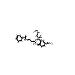 O=C(NCCCNc1ccc([N+](=O)[O-])cc1S(=O)(=O)CCO)c1ccccc1